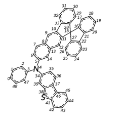 c1ccc(N(c2ccc3cc4c(cc3c2)C2(c3ccccc3-c3ccccc32)c2ccccc2-4)c2ccc3c(c2)sc2ccccc23)cc1